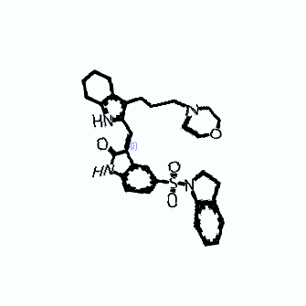 O=C1Nc2ccc(S(=O)(=O)N3CCc4ccccc43)cc2/C1=C/c1[nH]c2c(c1CCCN1CCOCC1)CCCC2